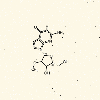 COC1C(O)[C@@H](CO)O[C@H]1n1ccc2c(=O)[nH]c(N)nc21